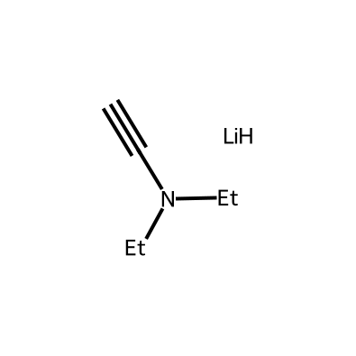 C#CN(CC)CC.[LiH]